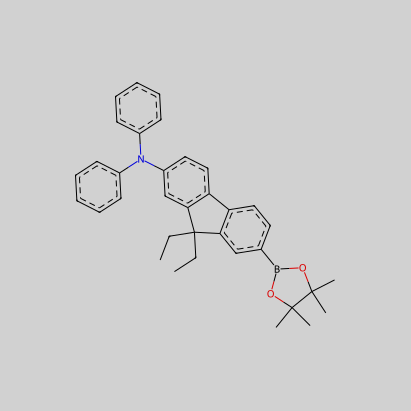 CCC1(CC)c2cc(B3OC(C)(C)C(C)(C)O3)ccc2-c2ccc(N(c3ccccc3)c3ccccc3)cc21